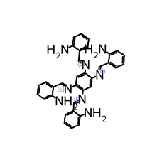 Nc1ccccc1/C=N/c1cc(/N=C/c2ccccc2N)c(/N=C/c2ccccc2N)cc1/N=C/c1ccccc1N